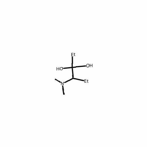 CCC(N(C)C)C(O)(O)CC